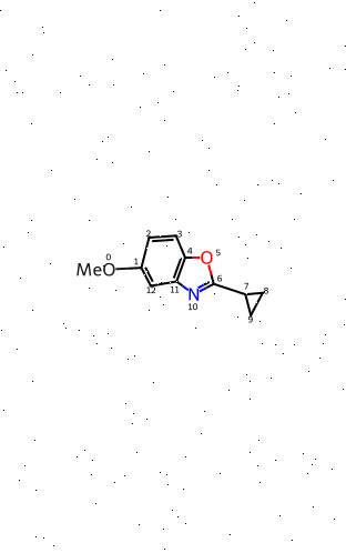 COc1ccc2oc(C3CC3)nc2c1